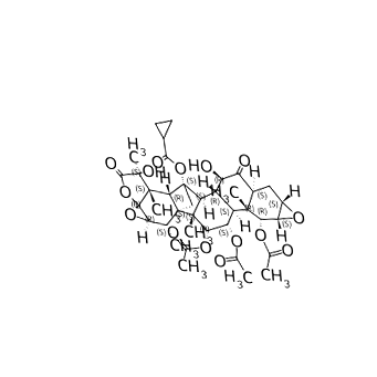 CC(=O)O[C@H]1[C@H]2[C@H]([C@@H]3[C@@]4(OC(=O)C5CC5)C[C@@]5([C@H](C)[C@H]6O[C@]67OC(=O)[C@@](C)(O)[C@]7(C)[C@H]45)[C@@]3(C)[C@H]1OC(C)=O)[C@@H](O)C(=O)[C@H]1C[C@@H]3O[C@@H]3[C@H](OC(C)=O)[C@]21C